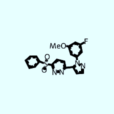 COc1cc(F)cc(-n2nccc2-c2ccc(S(=O)(=O)c3ccccc3)nn2)c1